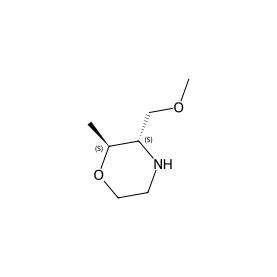 COC[C@@H]1NCCO[C@H]1C